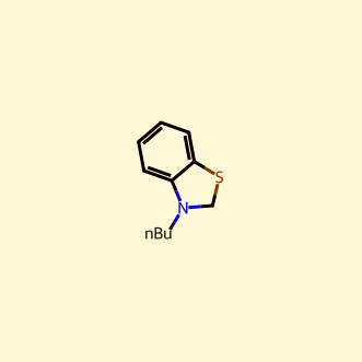 CCCCN1CSc2ccccc21